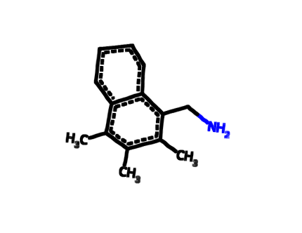 Cc1c(C)c(CN)c2ccccc2c1C